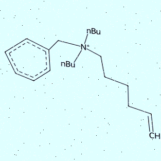 C=CCCCC[N+](CCCC)(CCCC)Cc1ccccc1